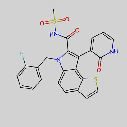 CS(=O)(=O)NC(=O)c1c(-c2ccc[nH]c2=O)c2c3sccc3ccc2n1Cc1ccccc1F